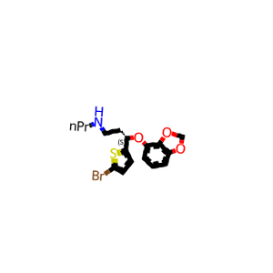 CCCNCC[C@H](Oc1cccc2c1OCO2)c1ccc(Br)s1